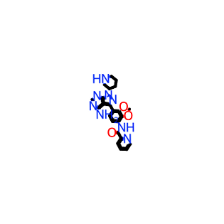 Nc1ncnc2c1c(-c1ccc(NC(=O)c3ccccn3)c3c1OCO3)nn2[C@@H]1CCCNC1